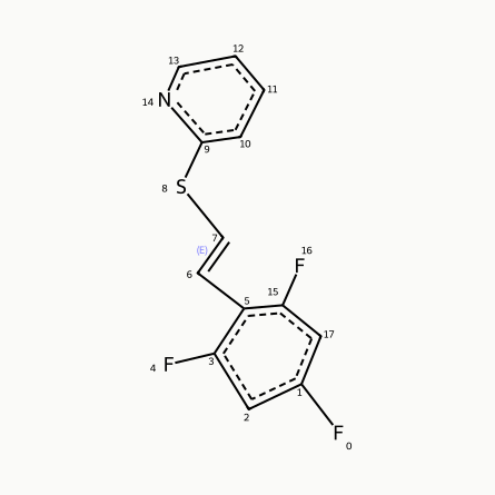 Fc1cc(F)c(/C=C/Sc2ccccn2)c(F)c1